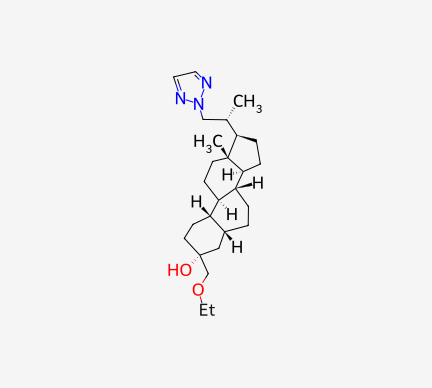 CCOC[C@@]1(O)CC[C@H]2[C@H](CC[C@@H]3[C@@H]2CC[C@]2(C)[C@@H]([C@@H](C)Cn4nccn4)CC[C@@H]32)C1